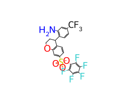 Nc1cc(C(F)(F)F)ccc1C1CCOc2cc(S(=O)(=O)Oc3c(F)c(F)c(F)c(F)c3F)ccc21